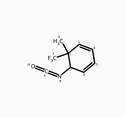 CC1(C(F)(F)F)C=CC=CC1N=C=O